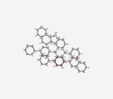 c1ccc(-c2ccc(N(c3ccccc3-c3ccccc3)c3c(N(c4ccccc4)c4ccccc4-c4ccc5ccccc5c4)ccc4oc5c6ccccc6ccc5c34)cc2)cc1